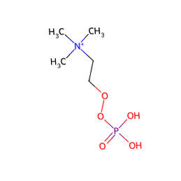 C[N+](C)(C)CCOOP(=O)(O)O